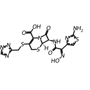 Nc1nc(/C(=N/O)C(=O)N[C@@H]2C(=O)N3C(C(=O)O)=C(SCc4nc[nH]n4)CS[C@H]23)cs1